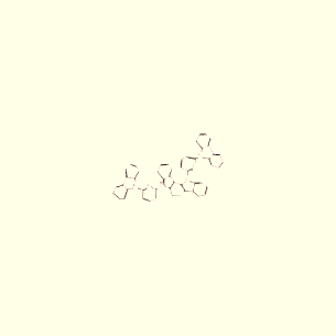 C1=CC(n2c3ccccc3c3ccccc32)=NC(n2c3c(c4ccccc42)-c2c(c4ccccc4n2-c2cccc(-n4c5ccccc5c5ccccc54)n2)CC3)C1